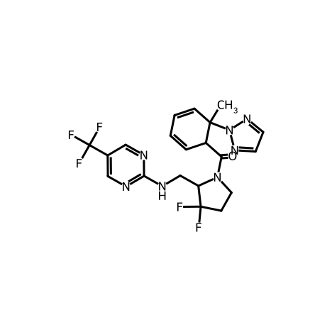 CC1(n2nccn2)C=CC=CC1C(=O)N1CCC(F)(F)C1CNc1ncc(C(F)(F)F)cn1